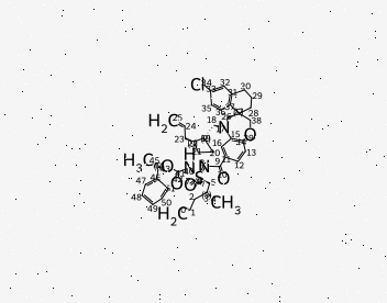 C=CC[C@H](C)C[S@](=O)(=NC(=O)c1ccc2c(c1)N(C[C@@H]1CC[C@H]1CC=C)C[C@@]1(CCCc3cc(Cl)ccc31)CO2)NC(=O)O[C@@H](C)c1ccccc1